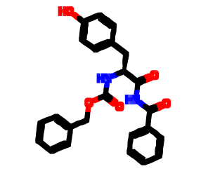 O=C(N[C@@H](Cc1ccc(O)cc1)C(=O)NC(=O)c1ccccc1)OCc1ccccc1